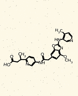 COc1cc(CC(=O)Nc2ccc(C(C)CC(=O)O)nc2)cc2oc(Nc3cnccc3C)nc12